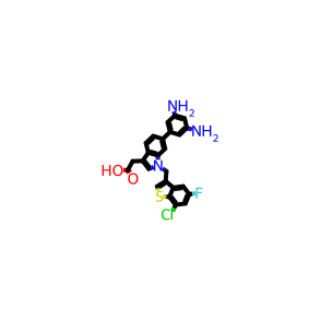 Nc1cc(N)cc(-c2ccc3c(CC(=O)O)cn(Cc4csc5c(Cl)cc(F)cc45)c3c2)c1